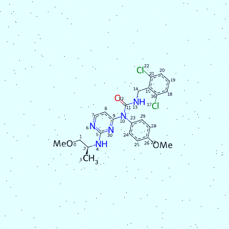 COC[C@H](C)Nc1nccc(N(C(=O)NCc2c(Cl)cccc2Cl)c2ccc(OC)cc2)n1